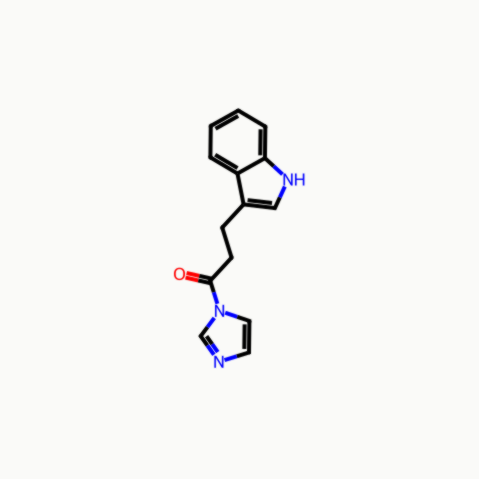 O=C(CCc1c[nH]c2ccccc12)n1ccnc1